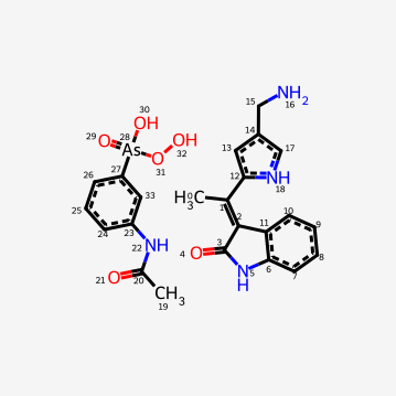 CC(=C1C(=O)Nc2ccccc21)c1cc(CN)c[nH]1.CC(=O)Nc1cccc([As](=O)(O)OO)c1